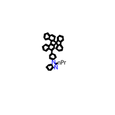 CCCc1nc2ccccc2n1-c1ccc(-c2cc3c(c4ccccc24)-c2c(ccc4ccccc24)C32c3ccccc3-c3ccccc32)cc1